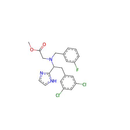 COC(=O)CN(Cc1cccc(F)c1)C(Cc1cc(Cl)cc(Cl)c1)c1ncc[nH]1